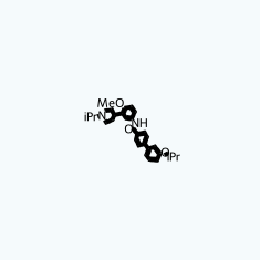 COc1ccc(NC(=O)c2ccc(-c3cccc(OC(C)C)c3)cc2)cc1C1CCN(C(C)C)CC1